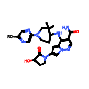 CC1(C)CN(c2cnc(C#N)cn2)CCC1Nc1c(C(N)=O)cnn2cc(N3CCC(O)C3=O)cc12